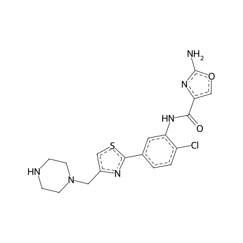 Nc1nc(C(=O)Nc2cc(-c3nc(CN4CCNCC4)cs3)ccc2Cl)co1